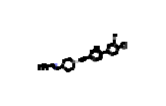 CCC/C=C/[C@H]1CC[C@H](C#Cc2ccc(-c3ccc(Cl)c(F)c3)nc2)CC1